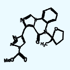 COC(=O)n1cc(-c2ncn3c2c(=O)n(C2(C)CCCO2)c2ccccc23)nn1